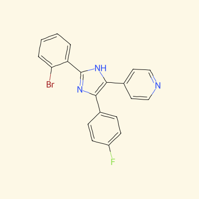 Fc1ccc(-c2nc(-c3ccccc3Br)[nH]c2-c2ccncc2)cc1